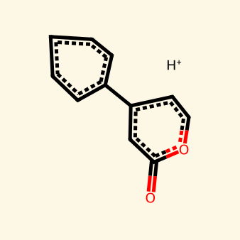 O=c1cc(-c2ccccc2)cco1.[H+]